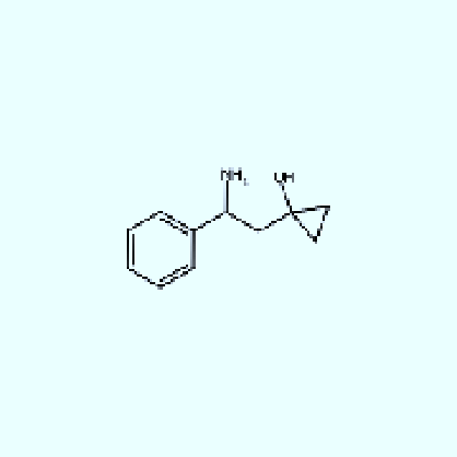 NC(CC1(O)CC1)c1ccccc1